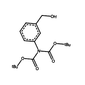 CC(C)(C)OC(=O)N(C(=O)OC(C)(C)C)c1cccc(CO)c1